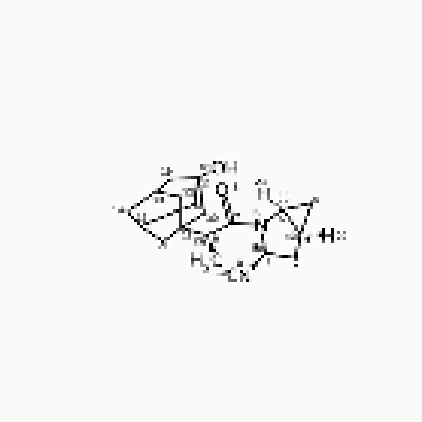 [C-]#[N+][C@@H]1C[C@@H]2C[C@@H]2N1C(=O)[C@@H](C)C12CC3CC(CC(O)(C3)C1)C2